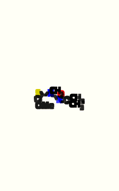 COc1ccc2scc(CCN(C)CCCN3Cc4cc(C)c(C)cc4C3=O)c2c1